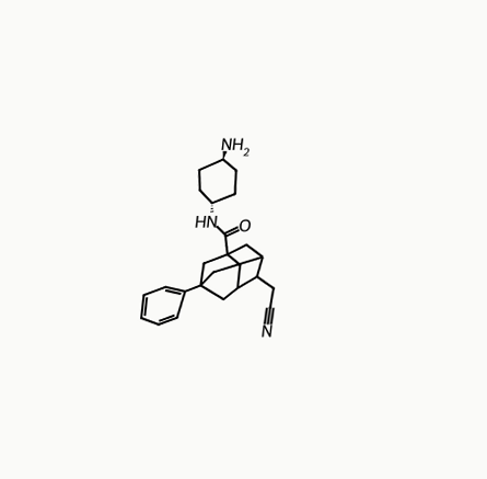 N#CCC1C2CC3(C(=O)N[C@H]4CC[C@H](N)CC4)CC1CC(c1ccccc1)(C2)C3